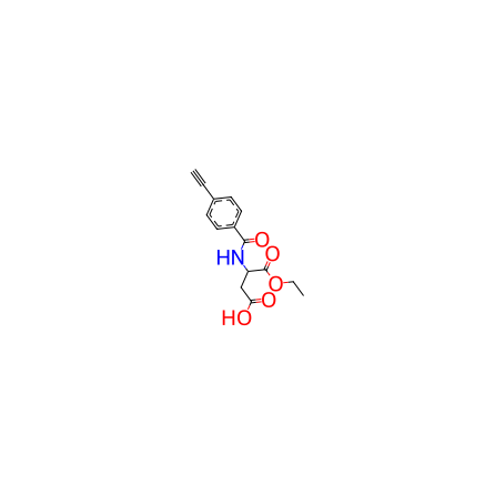 C#Cc1ccc(C(=O)NC(CC(=O)O)C(=O)OCC)cc1